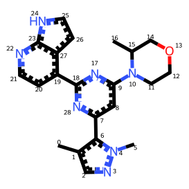 Cc1cnn(C)c1-c1cc(N2CCOCC2C)nc(-c2ccnc3[nH]ccc23)n1